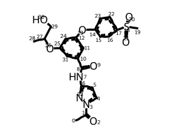 CC(=O)n1ccc(NC(=O)c2cc(Oc3ccc(S(C)(=O)=O)cc3)cc(OC(C)CO)c2)n1